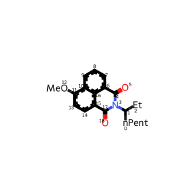 CCCCCC(CC)N1C(=O)c2cccc3c(OC)ccc(c23)C1=O